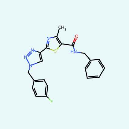 Cc1nc(-c2cn(Cc3ccc(F)cc3)nn2)sc1C(=O)NCc1ccccc1